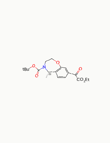 CCOC(=O)C(=O)c1ccc2c(c1)OCCN(C(=O)OC(C)(C)C)[C@H]2C